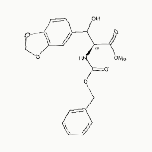 COC(=O)[C@@H](NC(=O)OCc1ccccc1)C(O)c1ccc2c(c1)OCO2